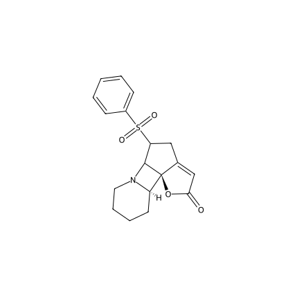 O=C1C=C2CC(S(=O)(=O)c3ccccc3)C3N4CCCC[C@@H]4[C@@]23O1